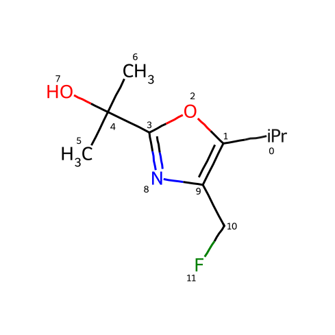 CC(C)c1oc(C(C)(C)O)nc1CF